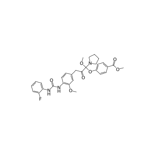 COC(=O)c1ccc(OC(OC)(C(=O)Cc2ccc(NC(=O)Nc3ccccc3F)c(OC)c2)N2CCCC2)cc1